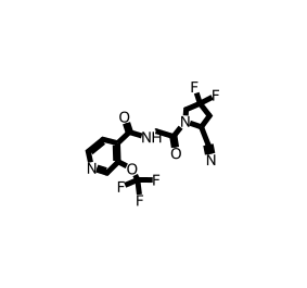 N#CC1CC(F)(F)CN1C(=O)CNC(=O)c1ccncc1OC(F)(F)F